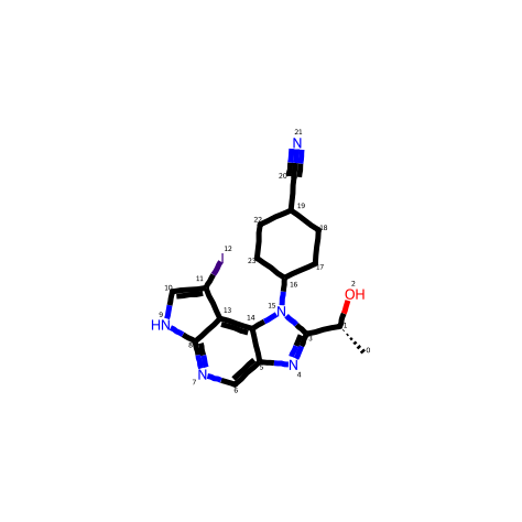 C[C@@H](O)c1nc2cnc3[nH]cc(I)c3c2n1C1CCC(C#N)CC1